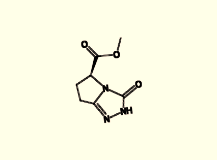 COC(=O)[C@@H]1CCc2n[nH]c(=O)n21